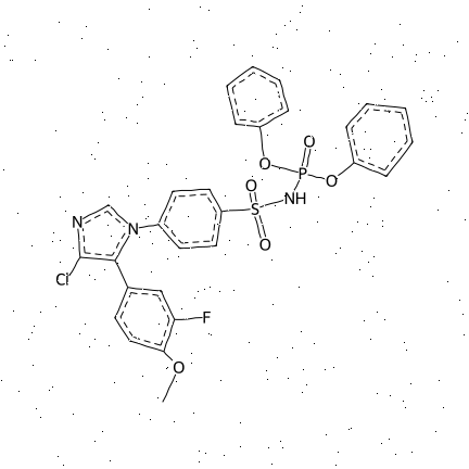 COc1ccc(-c2c(Cl)ncn2-c2ccc(S(=O)(=O)NP(=O)(Oc3ccccc3)Oc3ccccc3)cc2)cc1F